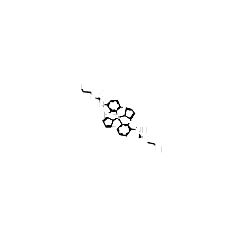 O=C(Nc1ccc(F)[c]([Ti]([c]2c(F)ccc(NC(=O)OCCCl)c2F)([CH]2C=CC=C2)[CH]2C=CC=C2)c1F)OCCCl